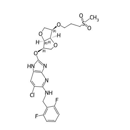 CS(=O)(=O)CCCO[C@@H]1CO[C@H]2[C@@H]1OC[C@H]2Oc1nc2nc(NCc3c(F)cccc3F)c(Cl)cc2[nH]1